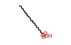 CCCCCCCCCCCCCCCCCCCCCCCCOS(=O)(=O)O